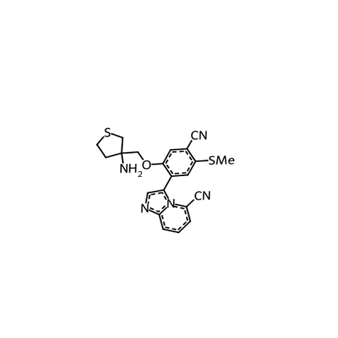 CSc1cc(-c2cnc3cccc(C#N)n23)c(OCC2(N)CCSC2)cc1C#N